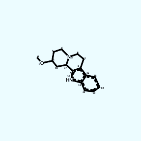 COC1CCN2CCc3c([nH]c4ccccc34)C2C1